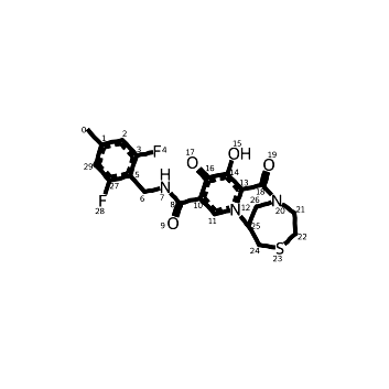 Cc1cc(F)c(CNC(=O)c2cn3c(c(O)c2=O)C(=O)N2CCSCC3C2)c(F)c1